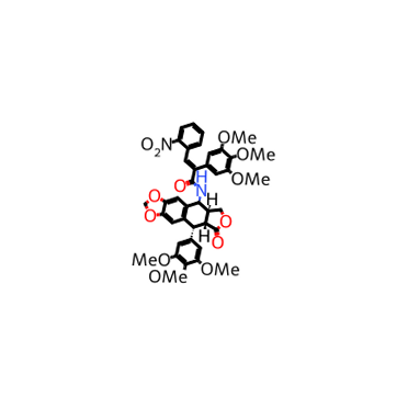 COc1cc(/C(=C\c2ccccc2[N+](=O)[O-])C(=O)N[C@@H]2c3cc4c(cc3[C@@H](c3cc(OC)c(OC)c(OC)c3)[C@H]3C(=O)OC[C@@H]32)OCO4)cc(OC)c1OC